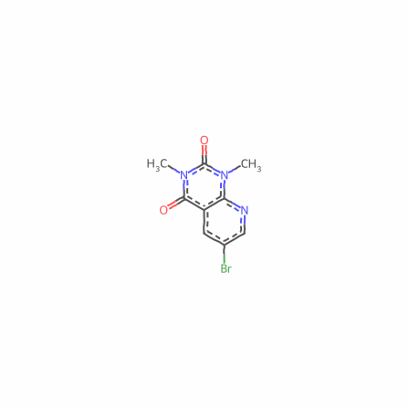 Cn1c(=O)c2cc(Br)cnc2n(C)c1=O